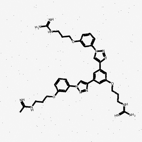 CC(=N)NCCCOc1cccc(-n2cc(-c3cc(OCCCNC(=N)N)cc(-c4cn(-c5cccc(OCCCNC(=N)N)c5)nn4)c3)nn2)c1